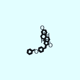 C[C@]12C=CC(=O)C=C1CC[C@@H]1[C@@H]2CC[C@]2(C)C(=O)C(=Cc3ccc(OCc4ccccc4)cc3)C[C@@H]12